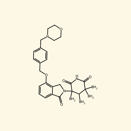 BC1C(B)(B)C(=O)NC(=O)C1(B)N1Cc2c(OCc3ccc(CN4CCOCC4)cc3)cccc2C1=O